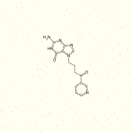 Nc1nc2ncn(CCCC(=O)c3cccnc3)c2c(=O)[nH]1